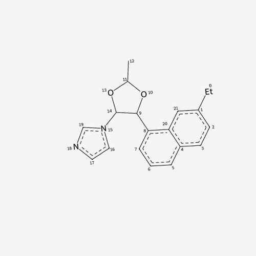 CCc1ccc2cccc(C3OC(C)OC3n3ccnc3)c2c1